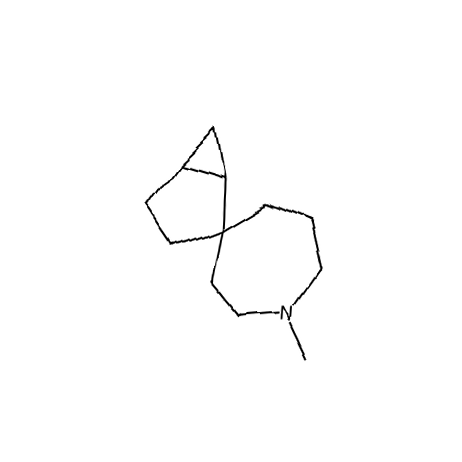 CN1CCCC2(CCC3CC32)CC1